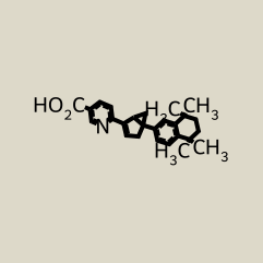 CC1(C)CCC(C)(C)c2cc(C34CC=C(c5ccc(C(=O)O)cn5)C3C4)ccc21